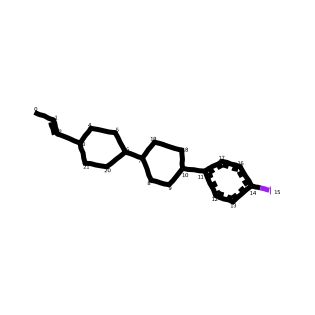 CC=CC1CCC(C2CCC(c3ccc(I)cc3)CC2)CC1